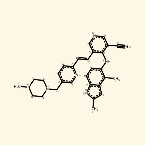 Cc1cc2c(C)c(Nc3c(C#N)cncc3C=Cc3ccc(CN4CCN(C)CC4)cn3)ccc2[nH]1